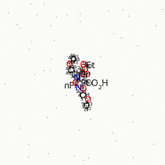 CCCN(Cc1ccc(Oc2ccccc2)cc1)C(=O)C1C(C(=O)O)C(C(=O)OC(C)OC(=O)CC)C1C(=O)N(CCC)Cc1ccc(Oc2ccccc2)cc1